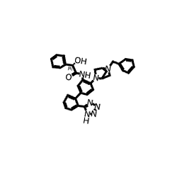 O=C(Nc1cc(-c2ccccc2-c2nnn[nH]2)ccc1N1CC2CC1CN2Cc1ccccc1)[C@H](O)c1ccccc1